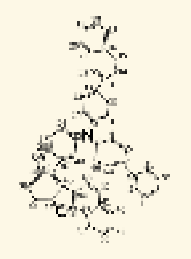 c1ccc(-c2ccc(N(c3ccc(-c4ccc5ccccc5c4)cc3)c3ccc4sc5ccc6oc7c8ccccc8ccc7c6c5c4c3)cc2)cc1